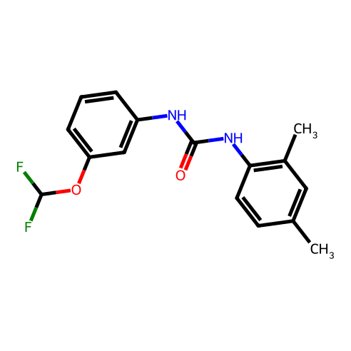 Cc1ccc(NC(=O)Nc2cccc(OC(F)F)c2)c(C)c1